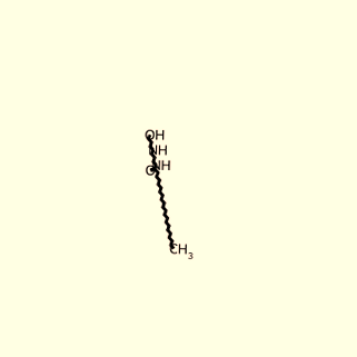 CCCCCCCCCCCCCCCCCCCCCC(=O)NCCCNCCCO